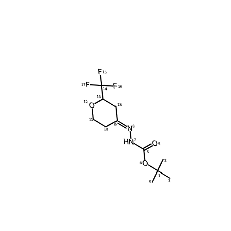 CC(C)(C)OC(=O)N/N=C1\CCOC(C(F)(F)F)C1